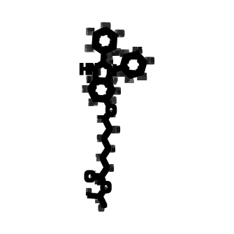 CC(C)OC(=O)CCCCCCOc1ccc2c(c1)N(c1ccccc1)C(c1ccccc1)N2